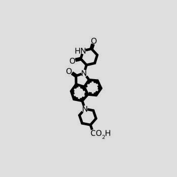 O=C1CCC(N2C(=O)c3ccc(N4CCC(C(=O)O)CC4)c4cccc2c34)C(=O)N1